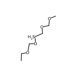 CCOCO[SiH2]COCOC